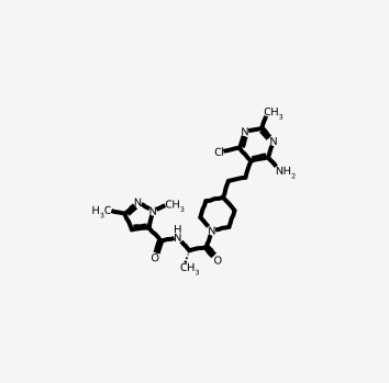 Cc1cc(C(=O)N[C@@H](C)C(=O)N2CCC(CCc3c(N)nc(C)nc3Cl)CC2)n(C)n1